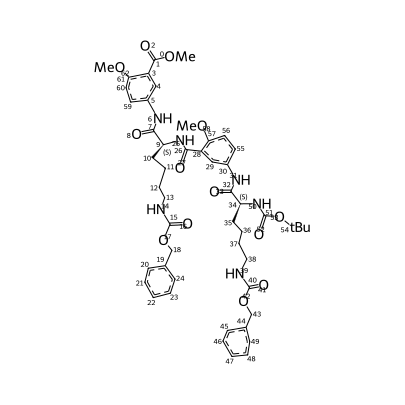 COC(=O)c1cc(NC(=O)[C@H](CCCCNC(=O)OCc2ccccc2)NC(=O)c2cc(NC(=O)[C@H](CCCCNC(=O)OCc3ccccc3)NC(=O)OC(C)(C)C)ccc2OC)ccc1OC